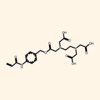 C=CC(=O)Nc1ccc(COC(=O)CN(CCN(CC(=O)O)CC(=O)O)CC(=O)O)cc1